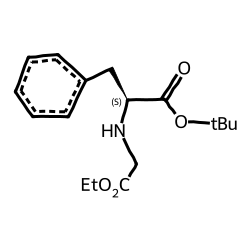 CCOC(=O)CN[C@@H](Cc1ccccc1)C(=O)OC(C)(C)C